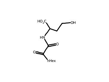 CCCCCCC(=O)C(=O)NC(CCO)C(=O)O